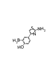 Bc1cc(-c2csc(N)n2)ccc1O